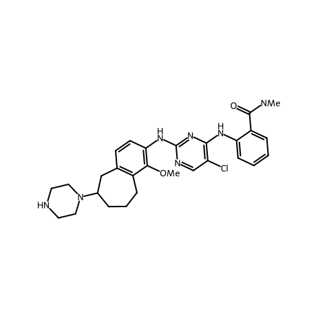 CNC(=O)c1ccccc1Nc1nc(Nc2ccc3c(c2OC)CCCC(N2CCNCC2)C3)ncc1Cl